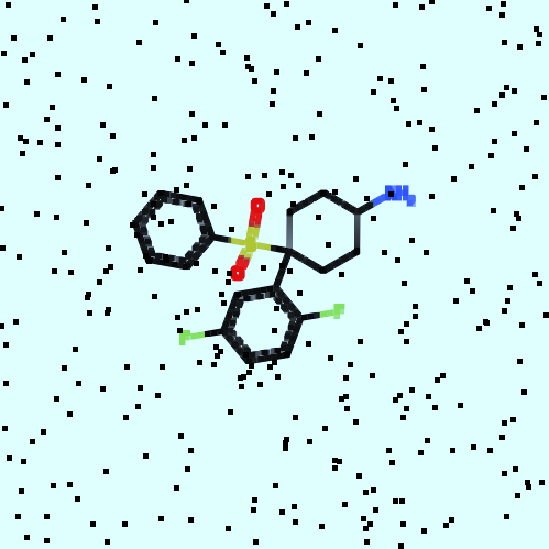 NC1CCC(c2cc(F)ccc2F)(S(=O)(=O)c2ccccc2)CC1